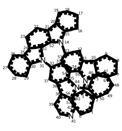 c1ccc(-n2c3ccccc3c3cc(-n4c5ccccc5c5ccc6c7ccccc7n(-c7ccc8c(c7)c7ccncc7n8-c7ccccc7)c6c54)ccc32)cc1